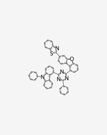 c1ccc(-c2nc(-c3cccc4oc5cc(-c6nc7ccccc7s6)ccc5c34)nc(-c3cccc4c3c3ccccc3n4-c3ccccc3)n2)cc1